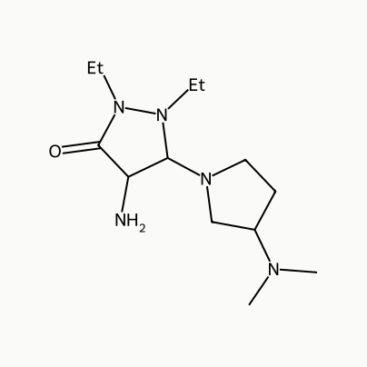 CCN1C(=O)C(N)C(N2CCC(N(C)C)C2)N1CC